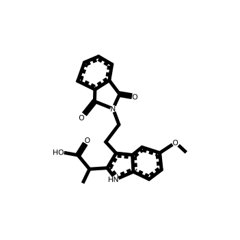 COc1ccc2[nH]c(C(C)C(=O)O)c(CCN3C(=O)c4ccccc4C3=O)c2c1